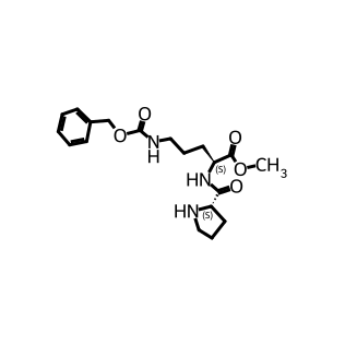 COC(=O)[C@H](CCCNC(=O)OCc1ccccc1)NC(=O)[C@@H]1CCCN1